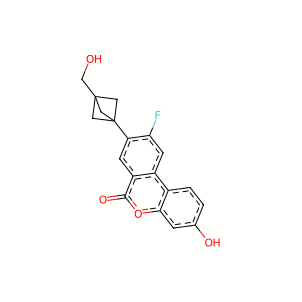 O=c1oc2cc(O)ccc2c2cc(F)c(C34CC(CO)(C3)C4)cc12